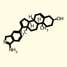 C[C@]12CC[C@H](O)CC1=CC[C@@H]1[C@@H]2CC[C@]2(C)C(c3ccc4c(c3)CN=C4N)=CC[C@@H]12